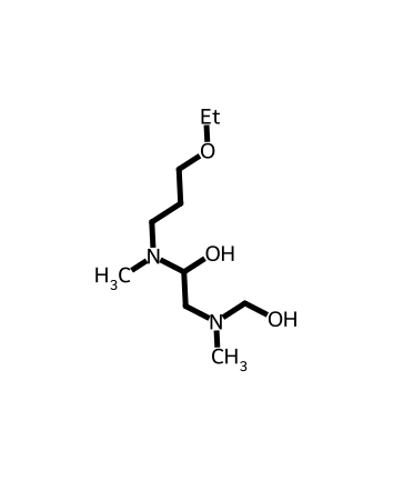 CCOCCCN(C)C(O)CN(C)CO